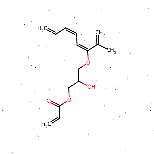 C=C/C=C\C=C(\OCC(O)COC(=O)C=C)C(=C)C